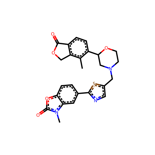 Cc1c(C2CN(Cc3cnc(-c4ccc5oc(=O)n(C)c5c4)s3)CCO2)ccc2c1COC2=O